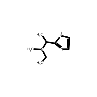 CCN(C)C(C)c1ncc[nH]1